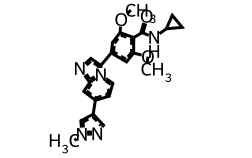 COc1cc(-c2cnc3cc(-c4cnn(C)c4)ccn23)cc(OC)c1C(=O)NC1CC1